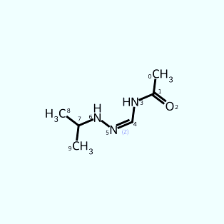 CC(=O)N/C=N\NC(C)C